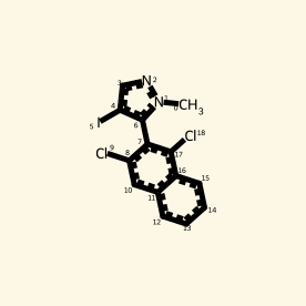 Cn1ncc(I)c1-c1c(Cl)cc2ccccc2c1Cl